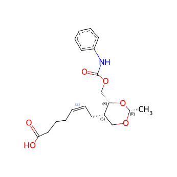 C[C@@H]1OC[C@H](C/C=C\CCCC(=O)O)[C@H](COC(=O)Nc2ccccc2)O1